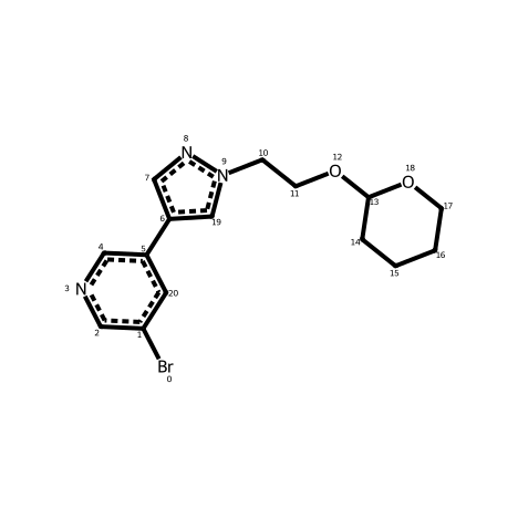 Brc1cncc(-c2cnn(CCOC3CCCCO3)c2)c1